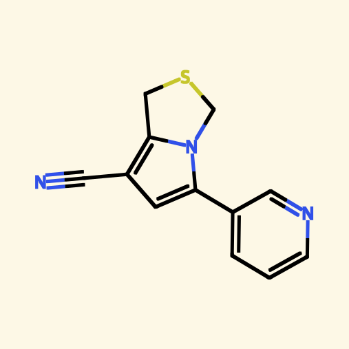 N#Cc1cc(-c2cccnc2)n2c1CSC2